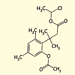 CC(=O)Oc1cc(C)cc(C)c1C(C)(C)CC(=O)OC(C)Cl